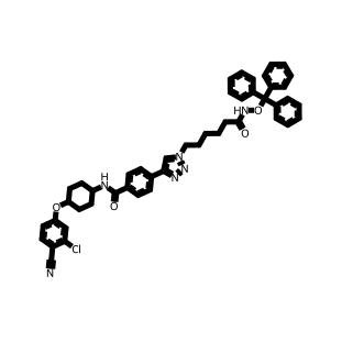 N#Cc1ccc(OC2CCC(NC(=O)c3ccc(-c4cn(CCCCCC(=O)NOC(c5ccccc5)(c5ccccc5)c5ccccc5)nn4)cc3)CC2)cc1Cl